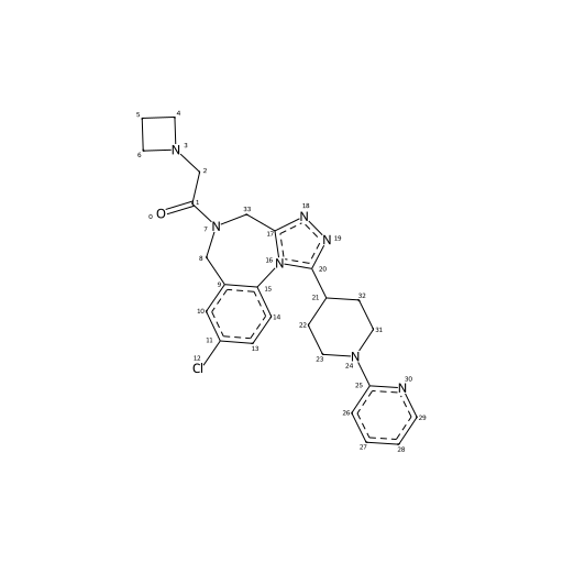 O=C(CN1CCC1)N1Cc2cc(Cl)ccc2-n2c(nnc2C2CCN(c3ccccn3)CC2)C1